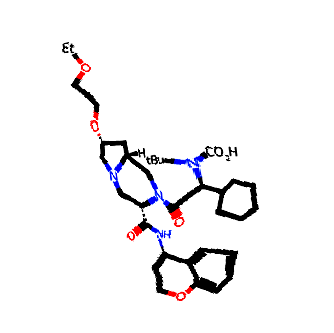 CCOCCO[C@@H]1C[C@@H]2CN(C(=O)[C@H](C3CCCCC3)N(C(=O)O)C(C)(C)C)[C@H](C(=O)N[C@@H]3CCOc4ccccc43)CN2C1